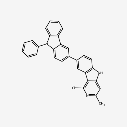 Cc1nc(Cl)c2c(n1)[nH]c1ccc(-c3ccc4c(c3)c3ccccc3n4-c3ccccc3)cc12